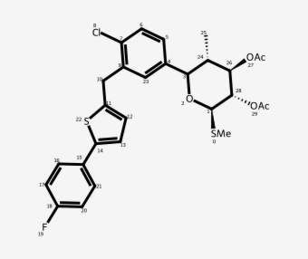 CS[C@H]1OC(c2ccc(Cl)c(Cc3ccc(-c4ccc(F)cc4)s3)c2)[C@H](C)[C@@H](OC(C)=O)[C@@H]1OC(C)=O